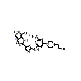 C/C=C(/Cl)C(NC(=O)c1cnc(Nc2cc(N3CCN(CCO)CC3)nc(C)n2)s1)=C(C)C